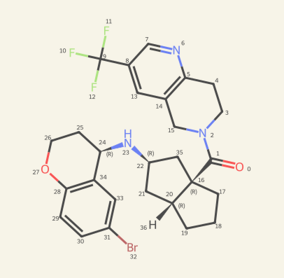 O=C(N1CCc2ncc(C(F)(F)F)cc2C1)[C@@]12CCC[C@@H]1C[C@@H](N[C@@H]1CCOc3ccc(Br)cc31)C2